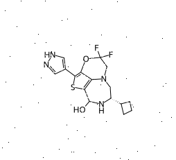 OC1N[C@@H](C2CCC2)CN2CC(F)(F)Oc3c(-c4cn[nH]c4)sc1c32